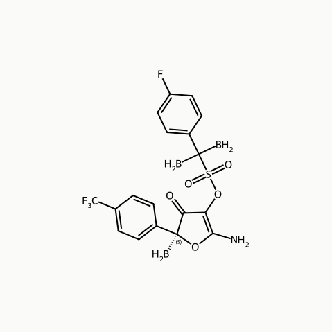 BC(B)(c1ccc(F)cc1)S(=O)(=O)OC1=C(N)O[C@@](B)(c2ccc(C(F)(F)F)cc2)C1=O